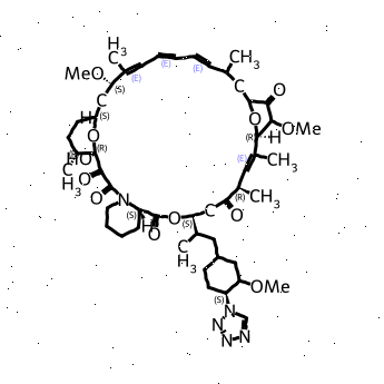 COC1C(=O)C2CC(C)/C=C/C=C/C=C(\C)[C@@H](OC)C[C@@H]3CC[C@@H](C)[C@@](O)(O3)C(=O)C(=O)N3CCCC[C@H]3C(=O)O[C@H](C(C)CC3CC[C@H](n4cnnn4)C(OC)C3)CC(=O)[C@H](C)/C=C(\C)[C@H]1O2